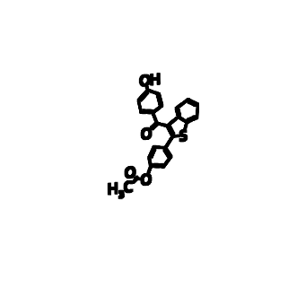 CC(=O)Oc1ccc(-c2sc3ccccc3c2C(=O)c2ccc(O)cc2)cc1